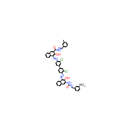 Cc1cccc(C=NNC(=O)c2cc3ccccc3c(N=Nc3ccc(-c4ccc(N=Nc5c(O)c(NC(=O)N=Cc6cccc([N+](=O)[O-])c6)cc6ccccc56)c(Cl)c4)cc3Cl)c2O)c1